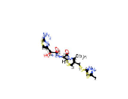 Cc1nnc(SCC2=C(C(=O)O)N3C(=O)C(NC(=O)C(O)c4csc(N)n4)[C@H]3SC2)s1